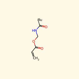 C=CC(=O)OCNC(=O)C(C)CC